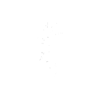 CC1(NC(=O)OC(C)(C)C)CCN(C2CCN(C(=O)OCc3ccccc3)CC2)CC1